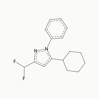 FC(F)c1cc(C2CCCCC2)n(-c2ccccc2)n1